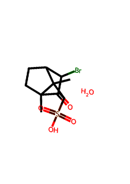 CC12CCC(C(Br)C1=O)C2(C)CS(=O)(=O)O.O